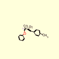 CCOC(=O)/C(C#Cc1ccc(C)cc1)=C/Oc1ccccc1